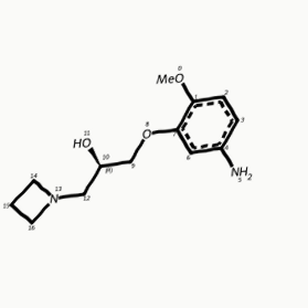 COc1ccc(N)cc1OC[C@H](O)CN1CCC1